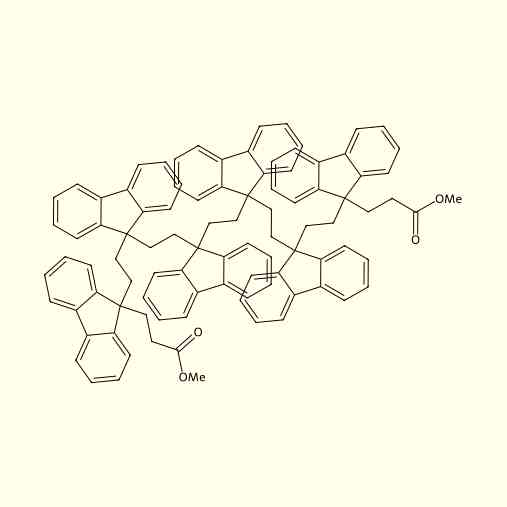 COC(=O)CCC1(CCC2(CCC3(CCC4(CCC5(CCC6(CCC(=O)OC)c7ccccc7-c7ccccc76)c6ccccc6-c6ccccc65)c5ccccc5-c5ccccc54)c4ccccc4-c4ccccc43)c3ccccc3-c3ccccc32)c2ccccc2-c2ccccc21